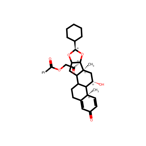 CC(C)C(=O)OCC(=O)[C@@]12O[C@H](C3CCCCC3)OC1CC1C3CCC4=CC(=O)C=C[C@]4(C)C3[C@@H](O)C[C@@]12C